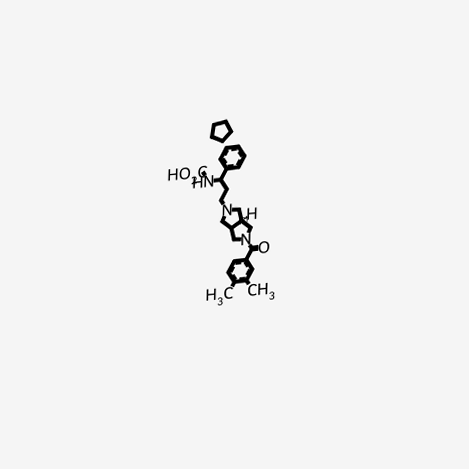 C1CCCC1.Cc1ccc(C(=O)N2CC3CN(CCC(NC(=O)O)c4ccccc4)C[C@H]3C2)cc1C